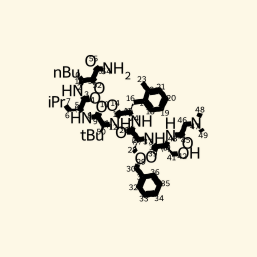 CCCCC(NC(=O)[C@H](CC(C)C)NC(=O)[C@@H](NC(=O)[C@H](Cc1ccccc1C)NC(=O)[C@@H](COCc1ccccc1)NC(=O)[C@H](CO)NC(=O)CN(C)C)C(C)(C)C)C(=O)C(N)=O